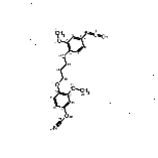 COc1cc(N=C=O)ccc1OCCCOc1ccc(OC#N)cc1OC